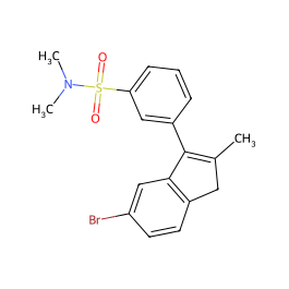 CC1=C(c2cccc(S(=O)(=O)N(C)C)c2)c2cc(Br)ccc2C1